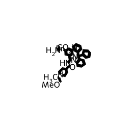 COCC(C)N1CCC(C(=O)Nc2nn(C(c3ccccc3)(c3ccccc3)c3ccccc3)c3ccc(Br)cc23)CC1.NC(=O)O